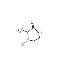 CC1C(=O)NCC[S+]1[O-]